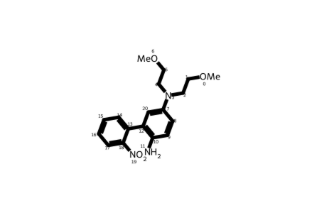 COCCN(CCOC)c1ccc(N)c(-c2ccccc2[N+](=O)[O-])c1